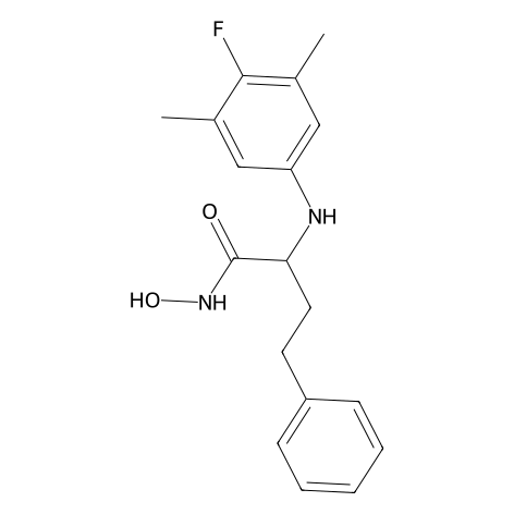 Cc1cc(NC(CCc2ccccc2)C(=O)NO)cc(C)c1F